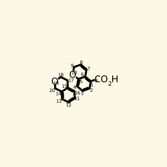 O=C(O)c1cccc2c1C=CCO2.c1ccc2c(c1)CCOC2